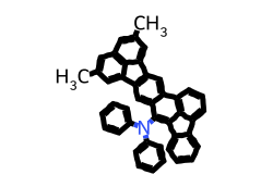 Cc1cc2cc(C)cc3c4cc5c(cc4c(c1)c23)c(N(c1ccccc1)c1ccccc1)c1c2ccccc2c2cccc5c21